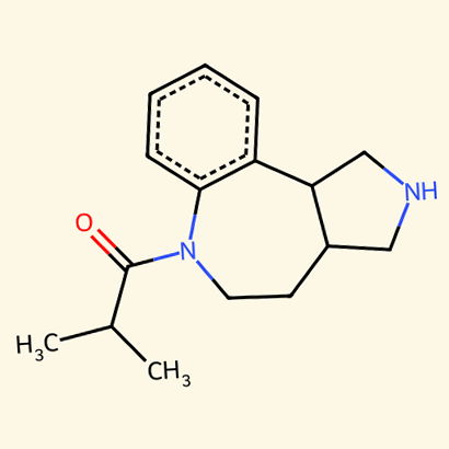 CC(C)C(=O)N1CCC2CNCC2c2ccccc21